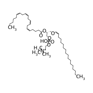 CCCCC/C=C\C/C=C\C/C=C\C/C=C\CCCC(=O)O[C@H](CO/C=C\CCCCCCCCCCCCCCCC)COP(=O)(O)OCC[N+](C)(C)C